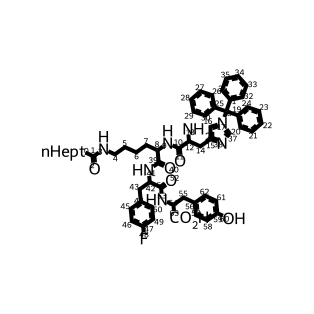 CCCCCCCC(=O)NCCCCC(NC(=O)C(N)Cc1cn(C(c2ccccc2)(c2ccccc2)c2ccccc2)cn1)C(=O)NC(Cc1ccc(F)cc1)C(=O)NC(Cc1ccc(O)cc1)C(=O)O